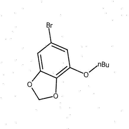 CCCCOc1cc(Br)cc2c1OCO2